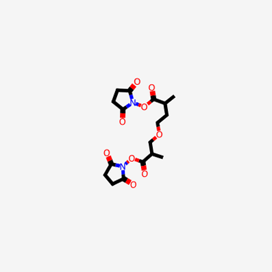 CC(CCOCC(C)C(=O)ON1C(=O)CCC1=O)C(=O)ON1C(=O)CCC1=O